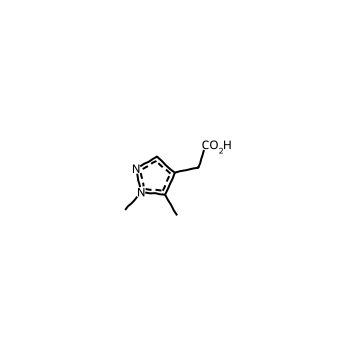 Cc1c(CC(=O)O)cnn1C